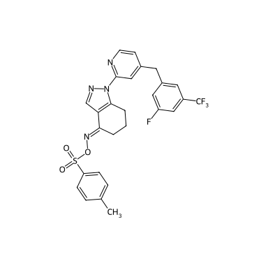 Cc1ccc(S(=O)(=O)ON=C2CCCc3c2cnn3-c2cc(Cc3cc(F)cc(C(F)(F)F)c3)ccn2)cc1